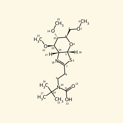 COC[C@H]1O[C@@H]2SC(CCN(C(=O)O)C(C)(C)C)=N[C@@H]2[C@@H](OC)[C@@H]1OC